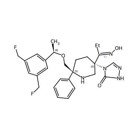 CC/C(=N\O)[C@]1(n2cn[nH]c2=O)CC[C@@](CO[C@H](C)c2cc(CF)cc(CF)c2)(c2ccccc2)NC1